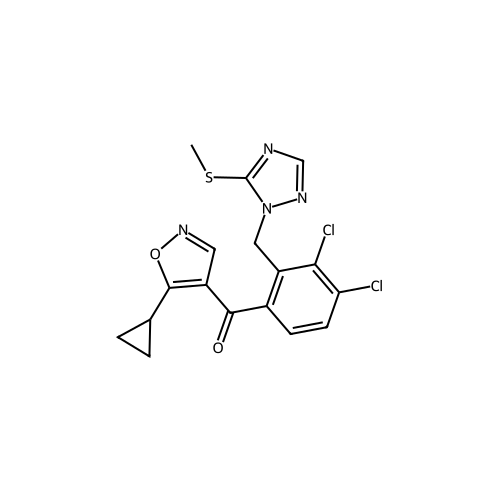 CSc1ncnn1Cc1c(C(=O)c2cnoc2C2CC2)ccc(Cl)c1Cl